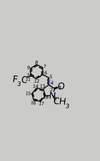 CN1C(=O)/C(=C/c2cccc(C(F)(F)F)c2)c2ccccc21